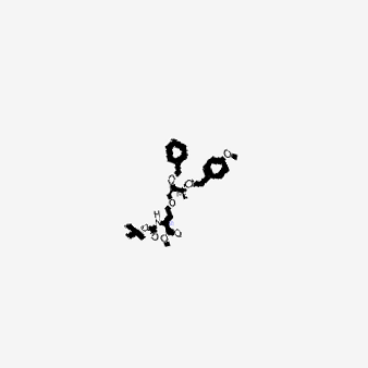 COC(=O)/C(=C/COC[C@@H](OCc1ccccc1)[C@H](C)OCc1ccc(OC)cc1)NC(=O)OC(C)(C)C